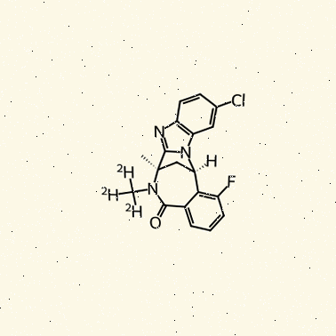 [2H]C([2H])([2H])N1C(=O)c2cccc(F)c2[C@H]2C[C@]1(C)c1nc3ccc(Cl)cc3n12